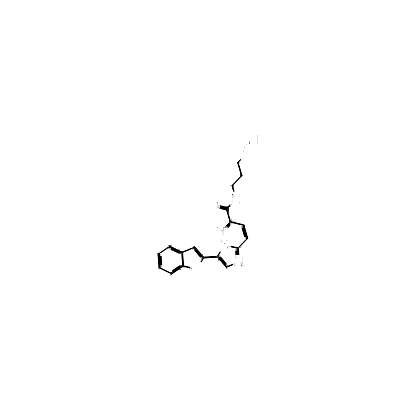 COCCCNC(=O)c1ccc2ncc(-c3cc4ccccc4o3)n2n1